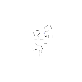 C=C(c1c[nH]c2c1=CCCC=2)C(Nc1cccc(C)c1)C(=N)/C=C1/C=CC=CN1